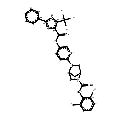 O=C(Nc1ccc(N2CC3CC2CN3C(=O)Nc2c(Cl)cccc2Cl)nc1)c1nc(-c2ccccc2)oc1C(F)(F)F